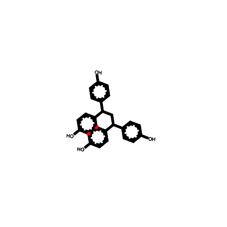 Oc1ccc(C(CC(c2ccc(O)cc2)c2ccc(O)cc2)c2ccc(O)cc2)cc1